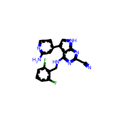 N#Cc1nc(NCc2c(F)cccc2F)c2c(-c3ccnc(N)c3)c[nH]c2n1